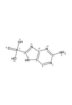 Nc1ncc2[nH]c(P(=O)(O)O)nc2n1